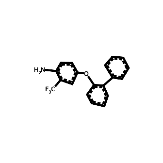 Nc1ccc(Oc2ccccc2-c2ccccc2)cc1C(F)(F)F